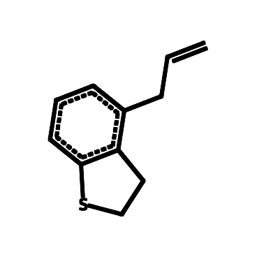 C=CCc1cccc2c1CCS2